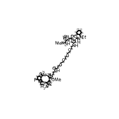 CC[C@H](NC(=O)[C@H]1C[C@@H](NCCOCCOCCOCCOCCC(=O)NCCn2nc3c(c2OC)-c2cnc(N)c(c2)N2CCC[C@@H]2c2cc(F)ccc2C(=O)N(C)C3)CN1C(=O)[C@H](NC(=O)[C@@H](C)NC)C(C)(C)C)c1ccccc1